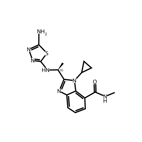 CNC(=O)c1cccc2nc([C@H](C)Nc3nnc(N)s3)n(C3CC3)c12